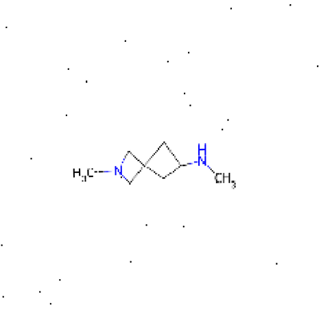 CNC1CC2(C1)CN(C)C2